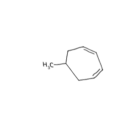 CC1CC=CC=CC1